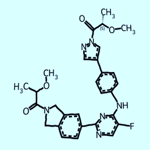 COC(C)C(=O)N1Cc2ccc(-c3ncc(F)c(Nc4ccc(-c5cnn(C(=O)[C@H](C)OC)c5)cc4)n3)cc2C1